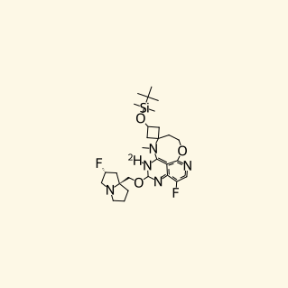 [2H]N1C2=c3c(ncc(F)c3=NC1OC[C@@]13CCCN1C[C@H](F)C3)OCCC1(CC(O[Si](C)(C)C(C)(C)C)C1)N2C